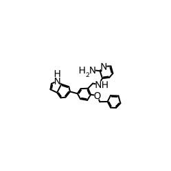 Nc1ncccc1NCc1cc(-c2ccc3cc[nH]c3c2)ccc1OCc1ccccc1